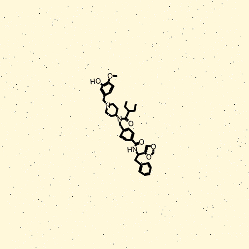 CCC(CC)C(=O)N(Cc1ccc(C(=O)NC(Cc2ccccc2)C2=COCO2)cc1)C1CCN(Cc2ccc(OC)c(O)c2)CC1